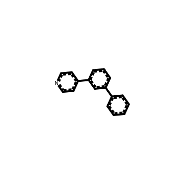 [c]1cc(-c2ccccc2)cc(-c2ccncc2)c1